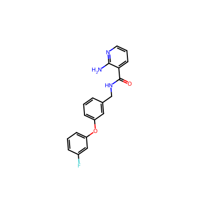 Nc1ncccc1C(=O)NCc1cccc(Oc2cccc(F)c2)c1